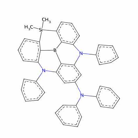 C[Si]1(C)c2cccc3c2B2c4c(cc(N(c5ccccc5)c5ccccc5)cc4N(c4ccccc4)c4cccc1c42)N3c1ccccc1